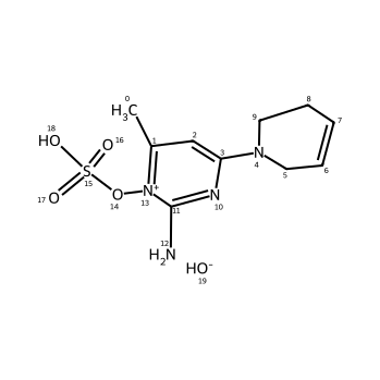 Cc1cc(N2CC=CCC2)nc(N)[n+]1OS(=O)(=O)O.[OH-]